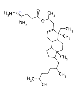 CCC1(C)C(CC(C)OC(=O)CC/C(N)=C/N)=CCC2C1CCC1(C)C(CC(C)CCCC(C)C)CCC21